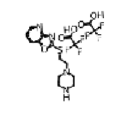 O=C(O)C(F)(F)F.O=C(O)C(F)(F)F.c1cnc2nc(SCCN3CCNCC3)oc2c1